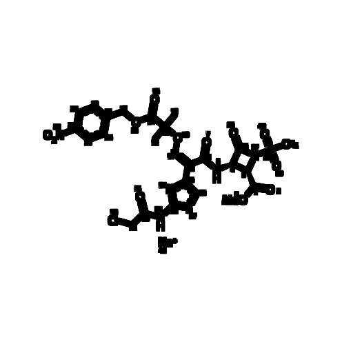 COC(=O)[C@H]1[C@@H](NC(=O)C(=NOC(C)(C)C(=O)OCc2ccc([N+](=O)[O-])cc2)c2csc(NC(=O)CCl)n2)C(=O)N1S(=O)(=O)[O-].[Na+]